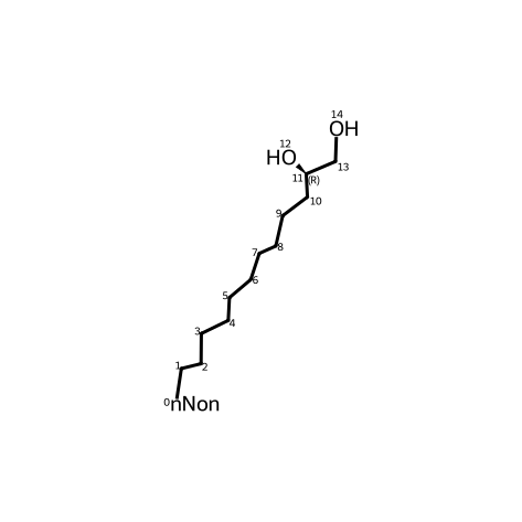 CCCCCCCCCCCCCCCCCCC[C@@H](O)CO